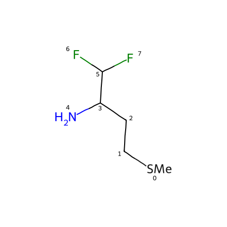 CSCCC(N)C(F)F